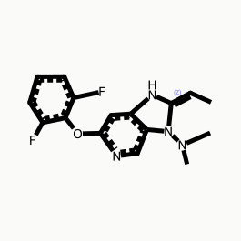 C/C=C1/Nc2cc(Oc3c(F)cccc3F)ncc2N1N(C)C